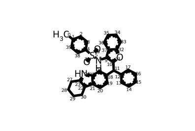 Cc1ccc(S(=O)(=O)Nc2c(C(c3ccccc3)c3ccc4c5c([nH]c4c3)CCCC5)oc3ccccc23)cc1